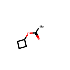 CCCCC(=O)OC1CCC1